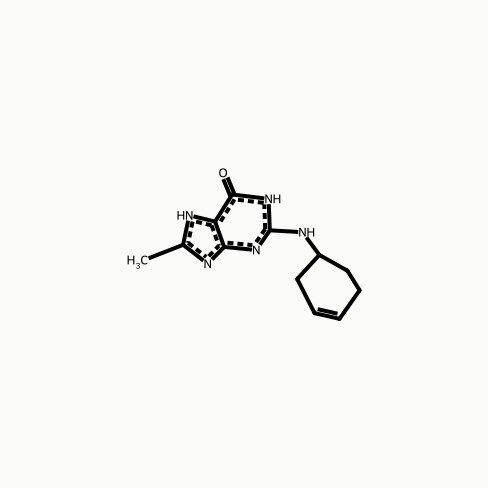 Cc1nc2nc(NC3CC=CCC3)[nH]c(=O)c2[nH]1